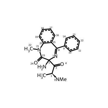 CN[C@@H](C)C(=O)C1(N)N=C(c2ccccc2)c2ccccc2N(C)C1=O